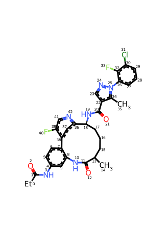 CCC(=O)Nc1ccc2c(c1)NC(=O)C(C)CCC[C@H](NC(=O)c1cnn(-c3cccc(Cl)c3F)c1C)c1cc-2c(F)cn1